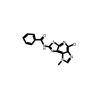 Cn1cnc2c(Cl)nc3sc(NC(=O)c4ccccc4)nc3c21